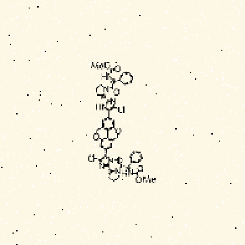 COC(=O)N[C@@H](C(=O)N1CCC[C@H]1c1nc(Cl)c(-c2cc3c4c(c2)OCc2cc(-c5[nH]c([C@@H]6CCCN6C(=O)[C@H](NC(=O)OC)c6ccccc6)nc5Cl)cc(c2-4)OC3)[nH]1)c1ccccc1